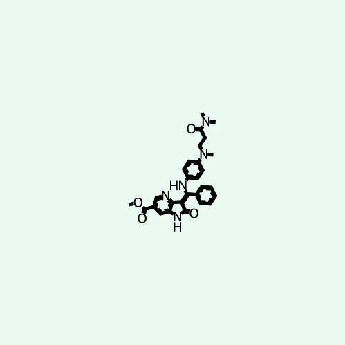 COC(=O)c1cnc2c(c1)NC(=O)/C2=C(/Nc1ccc(N(C)CCC(=O)N(C)C)cc1)c1ccccc1